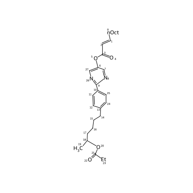 CCCCCCCCC=CC(=O)Oc1cnc(-c2ccc(CCCCC(C)OC(=O)CC)cc2)nc1